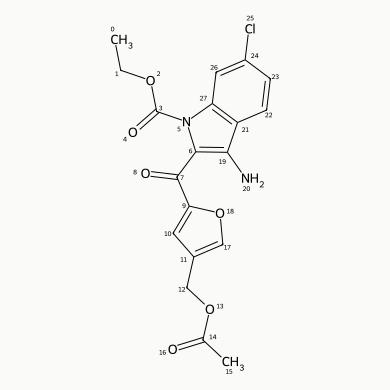 CCOC(=O)n1c(C(=O)c2cc(COC(C)=O)co2)c(N)c2ccc(Cl)cc21